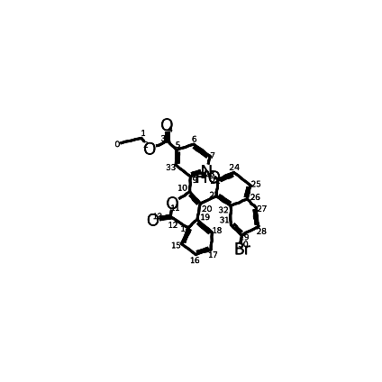 CCOC(=O)c1ccnc(-c2oc(=O)c3ccccc3c2-c2c(O)ccc3ccc(Br)cc23)c1